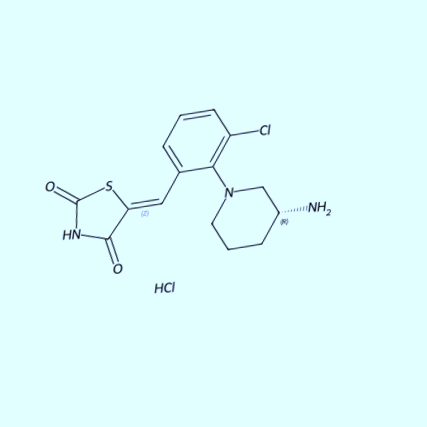 Cl.N[C@@H]1CCCN(c2c(Cl)cccc2/C=C2\SC(=O)NC2=O)C1